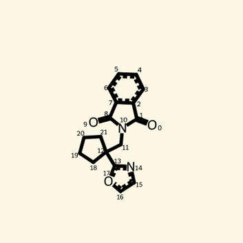 O=C1c2ccccc2C(=O)N1CC1(c2ncco2)CCCC1